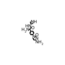 Nc1ccn(-c2ccc(C(N)C(=O)NC3CNC3)cc2)c(=O)n1